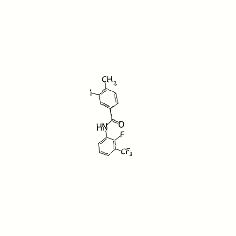 Cc1ccc(C(=O)Nc2cccc(C(F)(F)F)c2F)cc1I